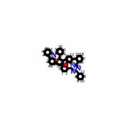 c1ccc(-c2nc(-c3ccccc3)nc(-c3ccccc3-c3ccc4c(c3)oc3cccc(-c5ccccc5-n5c6ccccc6c6ccccc65)c34)n2)cc1